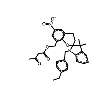 CCc1ccc(CN2c3ccccc3C(C)(C)C23CCc2cc([N+](=O)[O-])cc(COC(=O)CC(C)=O)c2O3)cc1